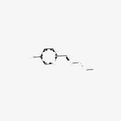 Brc1ccc(/C=N/NSI)nc1